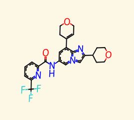 O=C(Nc1cc(C2=CCOCC2)c2nc(C3CCOCC3)cn2c1)c1cccc(C(F)(F)F)n1